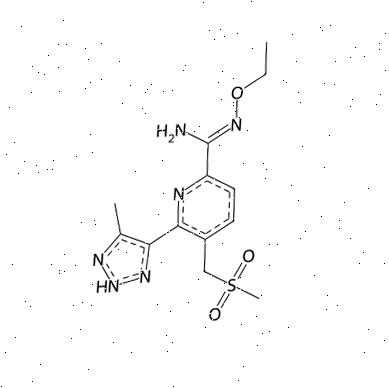 CCO/N=C(\N)c1ccc(CS(C)(=O)=O)c(-c2n[nH]nc2C)n1